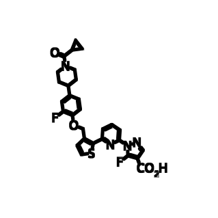 O=C(O)c1cnn(-c2cccc(-c3sccc3COc3ccc(C4CCN(C(=O)C5CC5)CC4)cc3F)n2)c1F